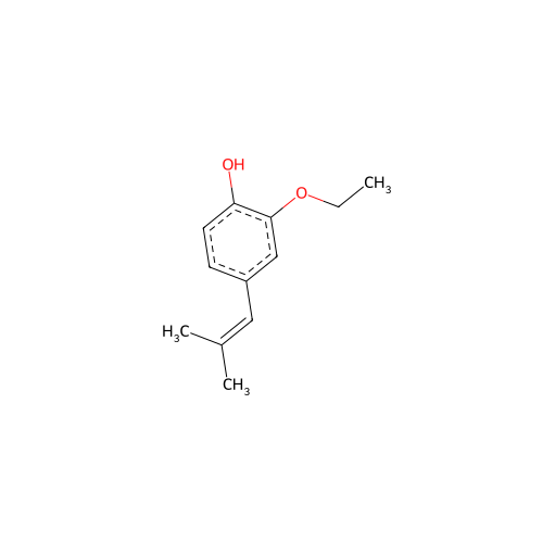 CCOc1cc(C=C(C)C)ccc1O